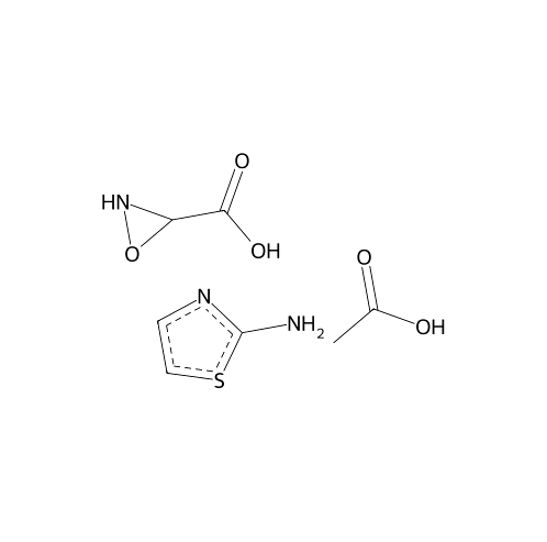 CC(=O)O.Nc1nccs1.O=C(O)C1NO1